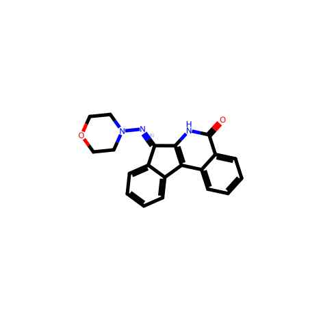 O=c1[nH]c2c(c3ccccc13)-c1ccccc1/C2=N\N1CCOCC1